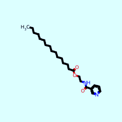 CCCCCCCCCCCCCCCC(=O)OCCNC(=O)c1cccnc1